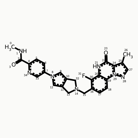 CNC(=O)c1ccc(-n2cc3c(c2)CN(Cc2ccc4c([nH]c(=O)c5c(C)cnn54)c2F)C3)cn1